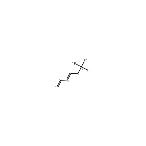 C=CC=CCC(F)(F)F